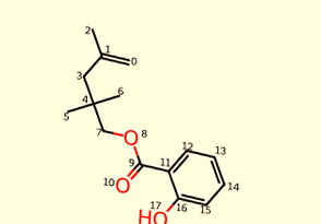 C=C(C)CC(C)(C)COC(=O)c1ccccc1O